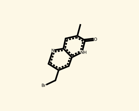 Cc1cc2ncc(CBr)cc2[nH]c1=O